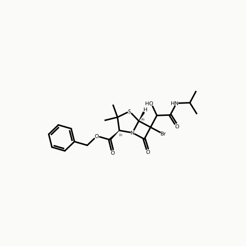 CC(C)NC(=O)C(O)C1(Br)C(=O)N2[C@@H](C(=O)OCc3ccccc3)C(C)(C)S[C@@H]21